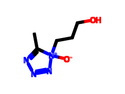 CC1=NN=N[N+]1([O-])CCCO